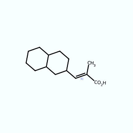 C/C(=C\C1CCC2CCCCC2C1)C(=O)O